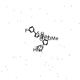 COc1ccc(N2C[C@@H](C)N[C@@H](C)C2)cc1NS(=O)(=O)c1ccc(-c2cccc(F)c2)s1